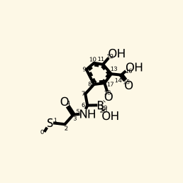 CSCC(=O)NC1Cc2ccc(O)c(C(=O)O)c2OB1O